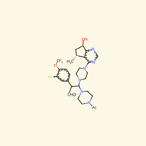 CC(=O)N1CCN(C(C(C=O)c2ccc(OC(F)(F)F)c(F)c2)N2CCN(c3ncnc4c3[C@H](C)C[C@H]4O)CC2)CC1